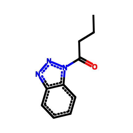 CCCC(=O)n1nnc2ccccc21